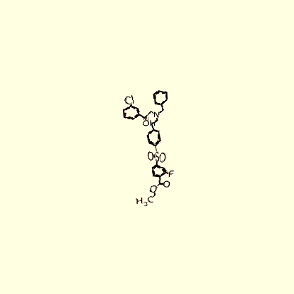 CCOC(=O)c1ccc(S(=O)(=O)c2ccc(CCN(Cc3ccccc3)C[C@H](O)c3cccc(Cl)c3)cc2)cc1F